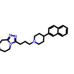 c1ccc2cc(C3CCN(CCCc4nnc5n4CCCCC5)CC3)ccc2c1